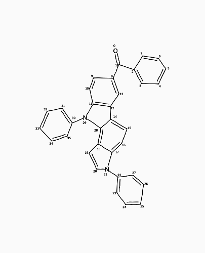 O=C(c1ccccc1)c1ccc2c(c1)c1ccc3c(ccn3-c3ccccc3)c1n2-c1ccccc1